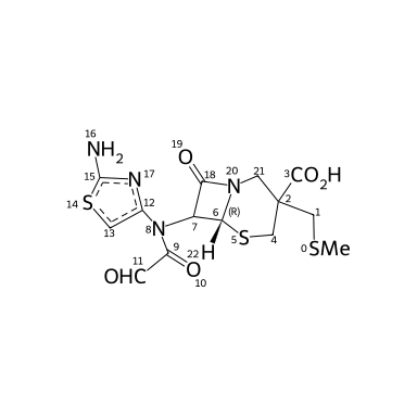 CSCC1(C(=O)O)CS[C@@H]2C(N(C(=O)C=O)c3csc(N)n3)C(=O)N2C1